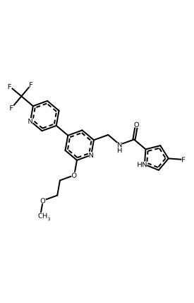 COCCOc1cc(-c2ccc(C(F)(F)F)nc2)cc(CNC(=O)c2cc(F)c[nH]2)n1